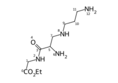 CCOC(=O)CNC(=O)C(N)CNCCCN